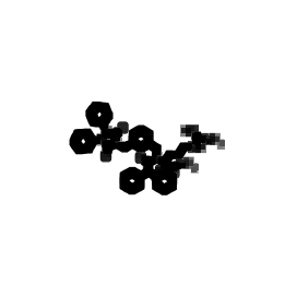 C[C@@](CCCNC(=N)N)(C(N)=O)N(Cc1cccc(Cn2c(=O)n(-c3ccccc3)n(-c3ccccc3)c2=O)c1)C(=O)C(c1ccccc1)c1ccccc1